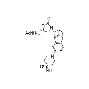 CC(=O)NC[C@@H]1OC(=O)N2C1C21CC=C2C(F)=C1c1nc(N3CCS(=N)(=O)CC3)ccc12